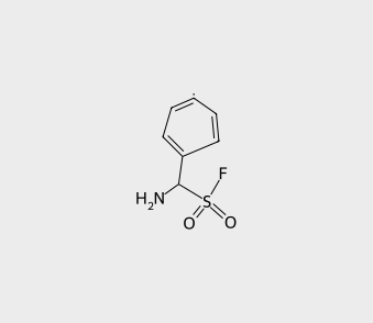 NC(c1cc[c]cc1)S(=O)(=O)F